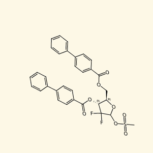 CS(=O)(=O)OC1O[C@H](COC(=O)c2ccc(-c3ccccc3)cc2)[C@@H](OC(=O)c2ccc(-c3ccccc3)cc2)C1(F)F